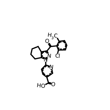 Cc1cccc(Cl)c1C(=O)c1nn(-c2ccc(C(=O)O)cn2)c2c1CCCC2